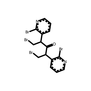 O=C(C(CBr)c1cccnc1Br)C(CBr)c1cccnc1Br